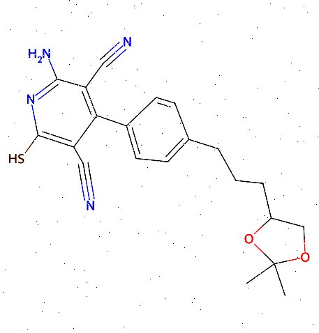 CC1(C)OCC(CCCc2ccc(-c3c(C#N)c(N)nc(S)c3C#N)cc2)O1